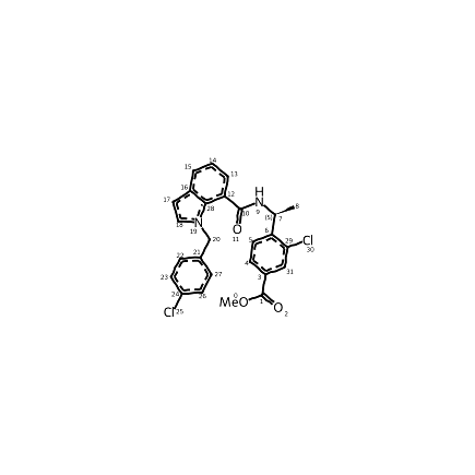 COC(=O)c1ccc([C@H](C)NC(=O)c2cccc3ccn(Cc4ccc(Cl)cc4)c23)c(Cl)c1